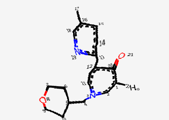 [2H]c1cn(CC2CCOCC2)cc(-c2ccc(C)cn2)c1=O